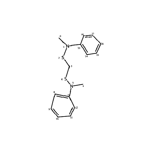 CN(SCSN(C)c1ccccc1)c1ccccc1